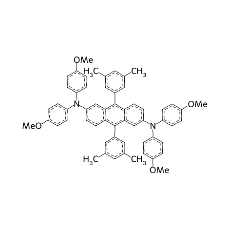 COc1ccc(N(c2ccc(OC)cc2)c2ccc3c(-c4cc(C)cc(C)c4)c4cc(N(c5ccc(OC)cc5)c5ccc(OC)cc5)ccc4c(-c4cc(C)cc(C)c4)c3c2)cc1